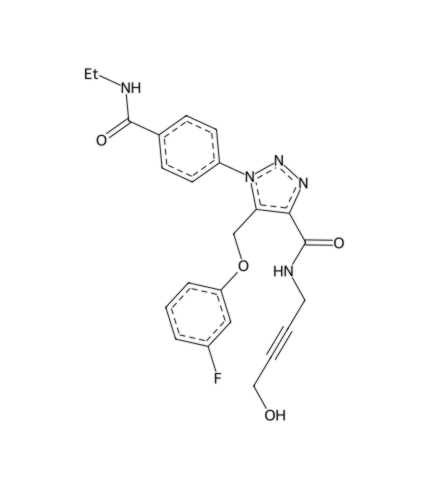 CCNC(=O)c1ccc(-n2nnc(C(=O)NCC#CCO)c2COc2cccc(F)c2)cc1